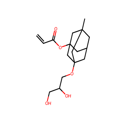 C=CC(=O)OC12CC3CC(C)(CC(OCC(O)CO)(C3)C1)C2